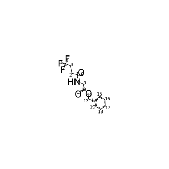 O=C(CCC(F)(F)F)NCC(=O)OCc1ccccc1